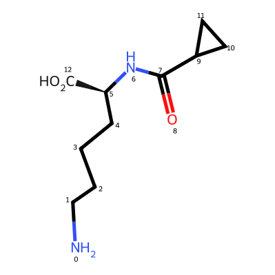 NCCCC[C@H](NC(=O)C1CC1)C(=O)O